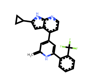 C=C1C=C(c2ccnc3[nH]c(C4CC4)cc23)C=C(c2ccccc2C(F)(F)F)N1